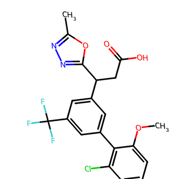 COc1cccc(Cl)c1-c1cc(C(CC(=O)O)c2nnc(C)o2)cc(C(F)(F)F)c1